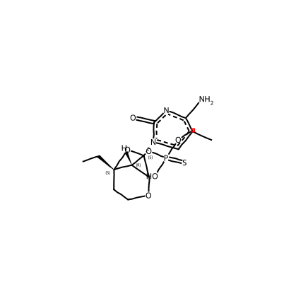 CC[C@]12CCOC([C@H]1OP(O)(=S)OC)[C@@H](n1cc(C)c(N)nc1=O)O2